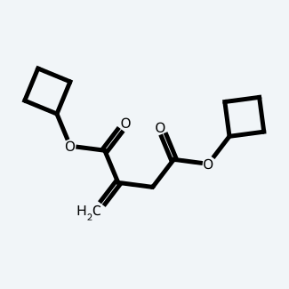 C=C(CC(=O)OC1CCC1)C(=O)OC1CCC1